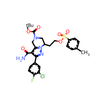 Cc1ccc(S(=O)(=O)OCCC2CN(C(=O)OC(C)(C)C)Cc3c(C(N)=O)c(-c4ccc(F)c(Cl)c4)nn32)cc1